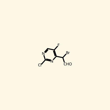 O=CC(Br)c1nc(Cl)ncc1F